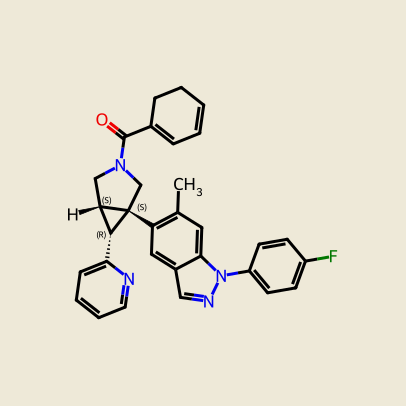 Cc1cc2c(cnn2-c2ccc(F)cc2)cc1[C@]12CN(C(=O)C3=CC=CCC3)C[C@H]1[C@H]2c1ccccn1